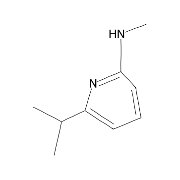 CNc1cccc(C(C)C)n1